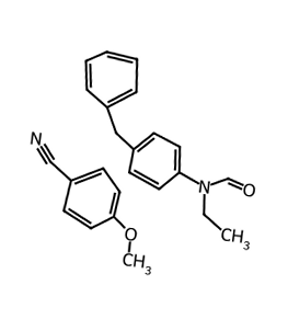 CCN(C=O)c1ccc(Cc2ccccc2)cc1.COc1ccc(C#N)cc1